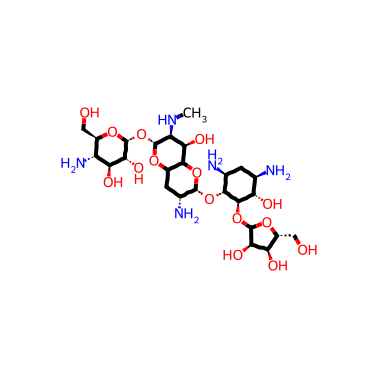 CN[C@@H]1[C@@H](O[C@H]2O[C@H](CO)[C@@H](N)[C@H](O)[C@H]2O)OC2C[C@@H](N)[C@@H](O[C@H]3[C@H](OC4O[C@H](CO)[C@@H](O)[C@H]4O)[C@@H](O)[C@H](N)C[C@@H]3N)OC2[C@@H]1O